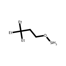 CCC(CC)(CC)CCO[SiH3]